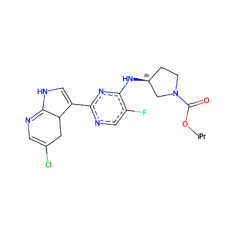 CC(C)OC(=O)N1CC[C@H](Nc2nc(C3=CNC4=NC=C(Cl)CC34)ncc2F)C1